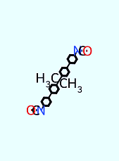 CC(C)(c1ccc(-c2ccc(N=C=O)cc2)cc1)c1ccc(-c2ccc(N=C=O)cc2)cc1